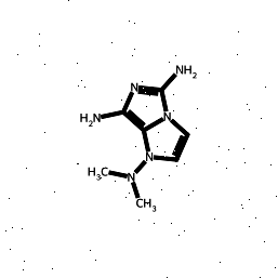 CN(C)n1ccn2c(N)nc(N)c12